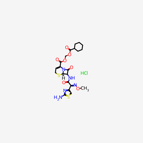 CON=C(C(=O)NC1C(=O)N2C(C(=O)OCOC(=O)C3CCCCC3)=CCS[C@@H]12)c1csc(N)n1.Cl